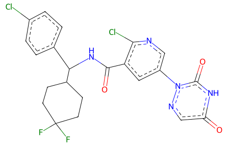 O=C(NC(c1ccc(Cl)cc1)C1CCC(F)(F)CC1)c1cc(-n2ncc(=O)[nH]c2=O)cnc1Cl